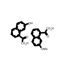 COc1ccc2cccc(C(=O)C(=O)O)c2c1.O=C(O)C(=O)c1cccc2ccc(O)cc12